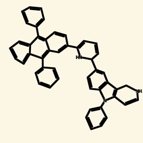 C1=CC(c2ccc3c(c2)c2c(n3-c3ccccc3)C=CNC2)NC(c2ccc3c(-c4ccccc4)c4ccccc4c(-c4ccccc4)c3c2)=C1